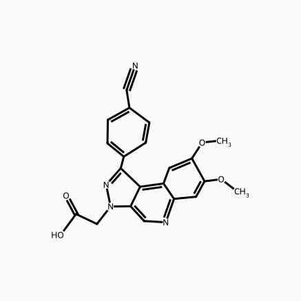 COc1cc2ncc3c(c(-c4ccc(C#N)cc4)nn3CC(=O)O)c2cc1OC